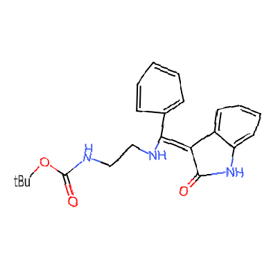 CC(C)(C)OC(=O)NCCN/C(=C1\C(=O)Nc2ccccc21)c1ccccc1